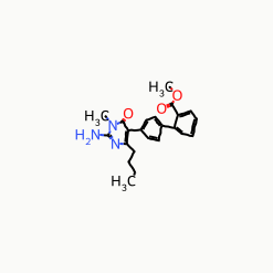 CCCCc1nc(N)n(C)c(=O)c1-c1ccc(-c2ccccc2C(=O)OC)cc1